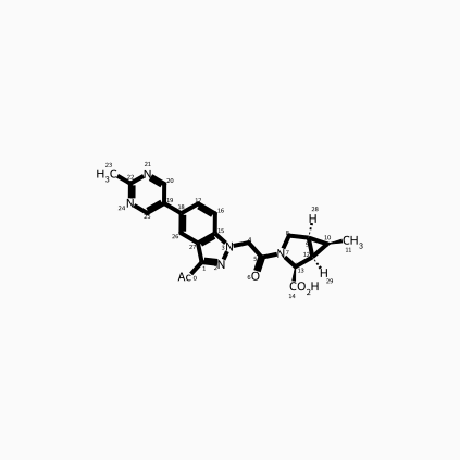 CC(=O)c1nn(CC(=O)N2C[C@H]3[C@@H](C)[C@H]3[C@H]2C(=O)O)c2ccc(-c3cnc(C)nc3)cc12